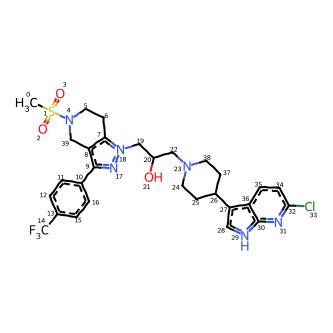 CS(=O)(=O)N1CCc2c(c(-c3ccc(C(F)(F)F)cc3)nn2CC(O)CN2CCC(c3c[nH]c4nc(Cl)ccc34)CC2)C1